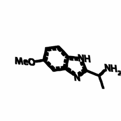 COc1ccc2[nH]c(C(C)N)nc2c1